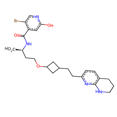 O=C(N[C@@H](CCOC1CC(CCc2ccc3c(n2)NCCC3)C1)C(=O)O)c1cc(O)ncc1Br